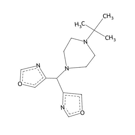 CC(C)(C)N1CCN(C(c2cocn2)c2cocn2)CC1